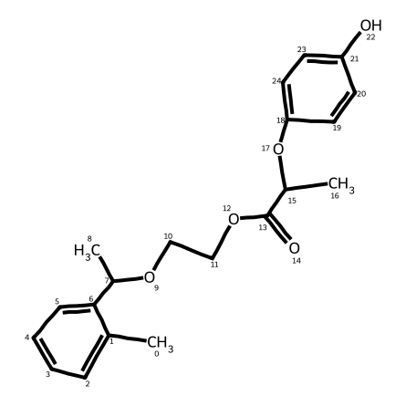 Cc1ccccc1C(C)OCCOC(=O)C(C)Oc1ccc(O)cc1